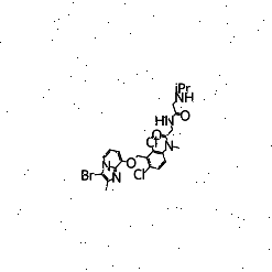 Cc1nc2c(OCc3c(Cl)ccc(N(C)C(=O)CNC(=O)CNC(C)C)c3Cl)cccn2c1Br